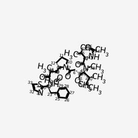 CC[C@H](C)[C@@H]([C@@H](CC(=O)N1CCC[C@H]1[C@H](OC)[C@@H](C)C(=O)N[C@@H](Cc1ccccc1)c1nccs1)OC)N(C)C(=O)[C@@H](NC(C)=O)C(C)C